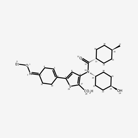 CCO/N=C1\CC=C(c2cc(N(C(=O)[C@H]3CC[C@H](C)CC3)[C@H]3CC[C@H](O)CC3)c(C(=O)O)s2)CC1